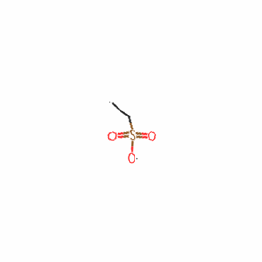 [CH2]CS([O])(=O)=O